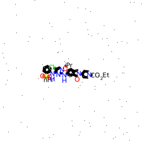 CCCS(=O)(=O)c1ccccc1Nc1nc(Nc2cc3c(cc2OC(C)C)CN(C2CCN(C(=O)OCC)CC2)C3=O)ncc1Cl